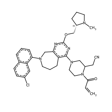 C=CC(=O)N1CCN(c2nc(OC[C@@H]3CCCN3C)nc3c2CCCN(c2cccc4ccc(Cl)cc24)C3)CC1CC#N